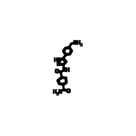 NCc1ccc(-c2cc(NC(=O)c3ccc(C(N)=O)cc3)n[nH]2)cc1